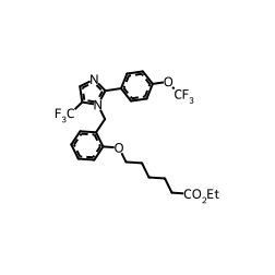 CCOC(=O)CCCCCOc1ccccc1Cn1c(C(F)(F)F)cnc1-c1ccc(OC(F)(F)F)cc1